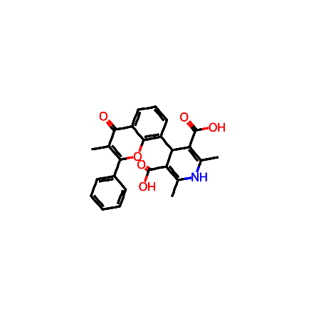 CC1=C(C(=O)O)C(c2cccc3c(=O)c(C)c(-c4ccccc4)oc23)C(C(=O)O)=C(C)N1